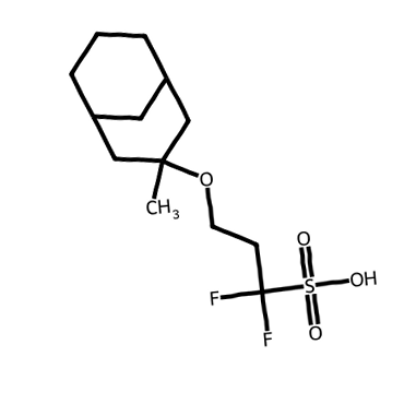 CC1(OCCC(F)(F)S(=O)(=O)O)CC2CCCC(C2)C1